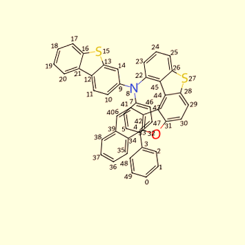 c1ccc(-c2ccc(N(c3ccc4c(c3)sc3ccccc34)c3cccc4sc5ccc6oc7c8ccccc8ccc7c6c5c34)cc2)cc1